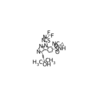 CC(C)(O)C#Cc1ncnc2c1c1ccc(S(=O)(=O)NC3(C#N)CC3)cc1n2-c1nnc(C(F)F)s1